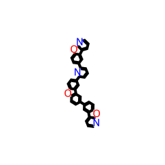 c1cc(-c2ccc3oc4ccc(-c5ccc6oc7ncccc7c6c5)cc4c3c2)nc(-c2ccc3oc4ncccc4c3c2)c1